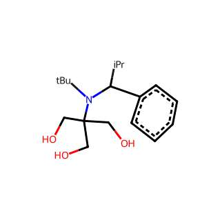 CC(C)C(c1ccccc1)N(C(C)(C)C)C(CO)(CO)CO